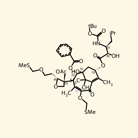 CSCOCC[C@H]1OC[C@@]1(OC(C)=O)C1/C(C)=C(/OCSC)C(=O)C2=C(C)[C@@H](OC(=O)[C@H](O)[C@H](CC(C)C)NC(=O)OC(C)(C)C)C[C@@](O)([C@H]1OC(=O)c1ccccc1)C2(C)C